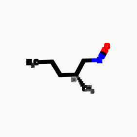 CCC[C@@H](C)CN=O